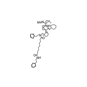 CN[C@@H](C)C(=O)N[C@@H](CC1CCCCC1)C(=O)N1CCC[C@H]1CN(CCc1ccccc1)C(=O)CCCCCCCCC(=O)NCCc1ccccc1